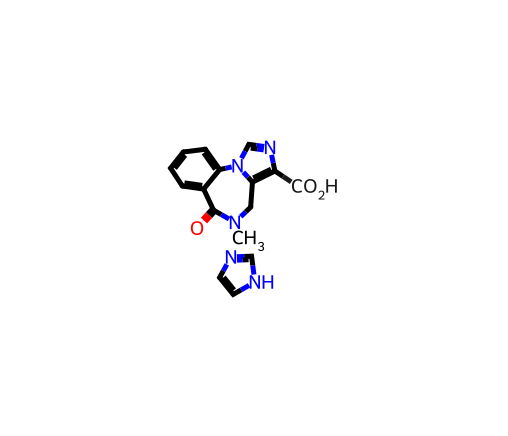 CN1Cc2c(C(=O)O)ncn2-c2ccccc2C1=O.c1c[nH]cn1